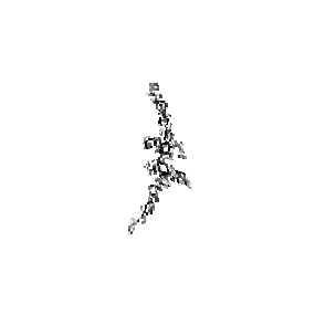 CCCCOCCOCCOc1c(CC)cc(-c2cc(CC)c(OCCOCCOCCCC)c(COC)c2)cc1COC